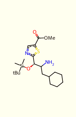 COC(=O)c1cnc([C@H](O[Si](C)(C)C(C)(C)C)C(N)CC2CCCCC2)s1